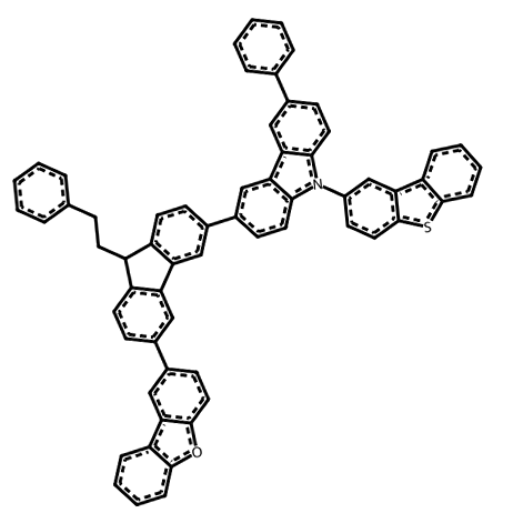 c1ccc(CCC2c3ccc(-c4ccc5oc6ccccc6c5c4)cc3-c3cc(-c4ccc5c(c4)c4cc(-c6ccccc6)ccc4n5-c4ccc5sc6ccccc6c5c4)ccc32)cc1